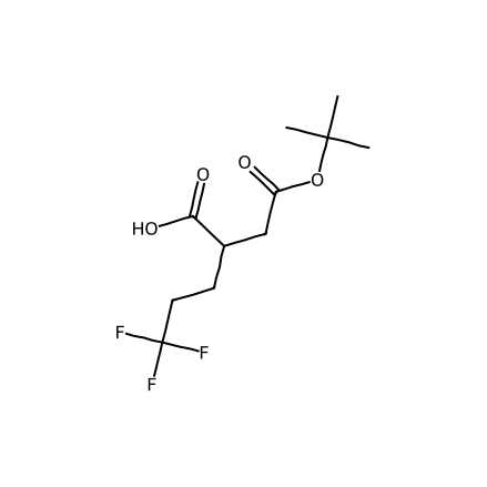 CC(C)(C)OC(=O)CC(CCC(F)(F)F)C(=O)O